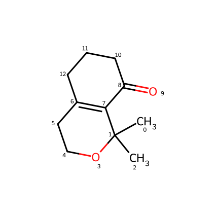 CC1(C)OCCC2=C1C(=O)CCC2